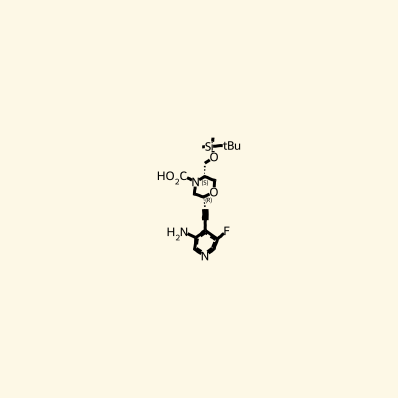 CC(C)(C)[Si](C)(C)OC[C@@H]1CO[C@H](C#Cc2c(N)cncc2F)CN1C(=O)O